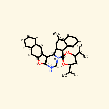 CCC(CC)C1CC(C(CC)CC)OC2(O1)C1C3CCCCC3C(C(C)C)CC1C1C3C(NCN12)OC1CC2CCCCC2CC13